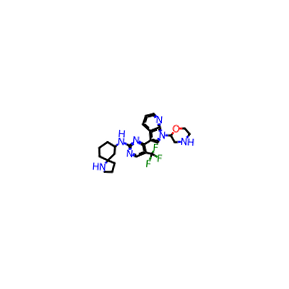 FC(F)(F)c1cnc(NC2CCCC3(CCCN3)C2)nc1-c1cn(C2CNCCO2)c2ncccc12